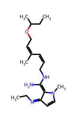 CC/N=C1/C=CN(C)/C1=C(/N)NC/C=C\C(C)=C/COC(C)CC